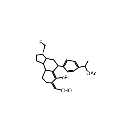 CCCC1=C2C(c3ccc(C(C)OC(C)=O)cc3)CC3C(CC[C@H]3CF)C2CC/C1=C/C=O